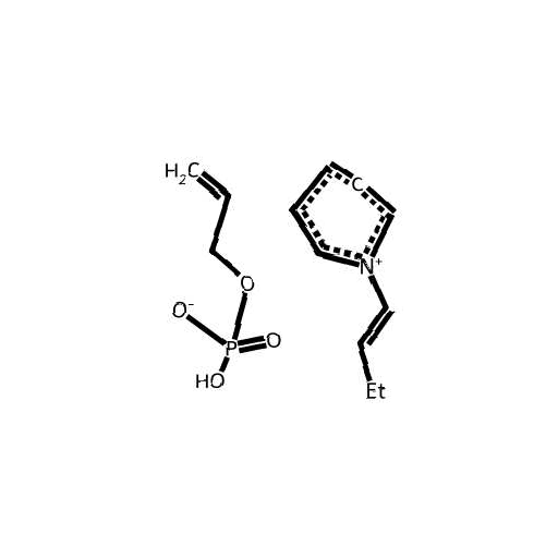 C=CCOP(=O)([O-])O.CCC=C[n+]1ccccc1